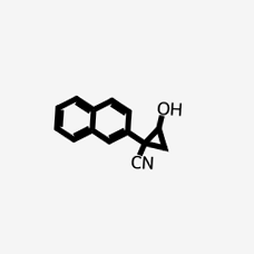 N#CC1(c2ccc3ccccc3c2)CC1O